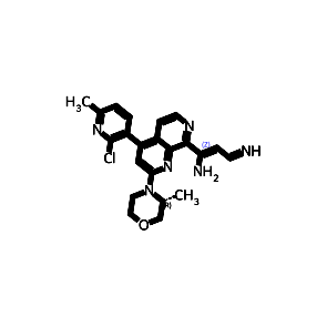 Cc1ccc(-c2cc(N3CCOC[C@H]3C)nc3c(/C(N)=C/C=N)nccc23)c(Cl)n1